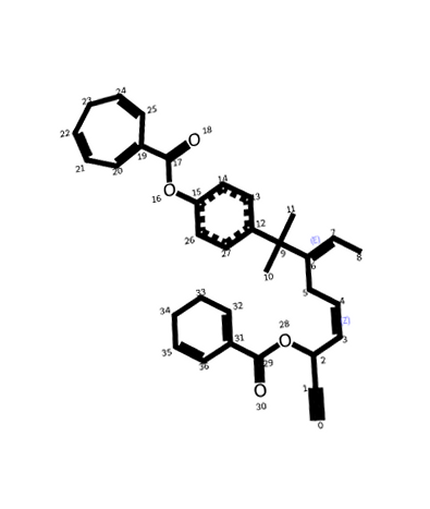 C#CC(/C=C\C/C(=C\C)C(C)(C)c1ccc(OC(=O)C2=CC=CCC=C2)cc1)OC(=O)C1=CCCC=C1